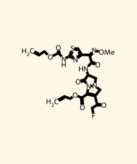 C=CCOC(=O)Nc1nc(/C(=N/OC)C(=O)NC2CN3CC(C(=O)CF)=C(C(=O)OCC=C)N3C2=O)cs1